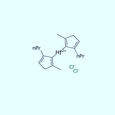 CCCC1=CCC(C)=[C]1[Hf+2][C]1=C(C)CC=C1CCC.[Cl-].[Cl-]